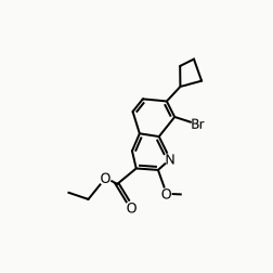 CCOC(=O)c1cc2ccc(C3CCC3)c(Br)c2nc1OC